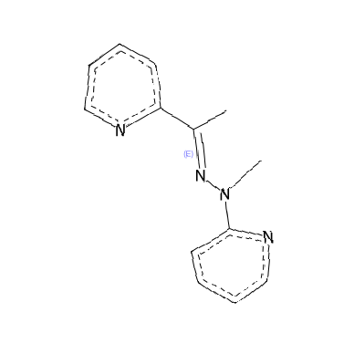 C/C(=N\N(C)c1ccccn1)c1ccccn1